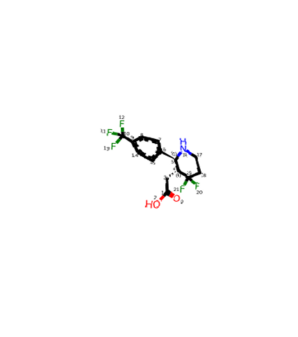 O=C(O)C[C@@H]1[C@@H](c2ccc(C(F)(F)F)cc2)NCCC1(F)F